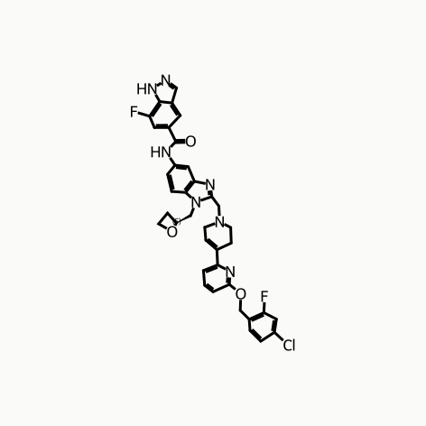 O=C(Nc1ccc2c(c1)nc(CN1CC=C(c3cccc(OCc4ccc(Cl)cc4F)n3)CC1)n2C[C@@H]1CCO1)c1cc(F)c2[nH]ncc2c1